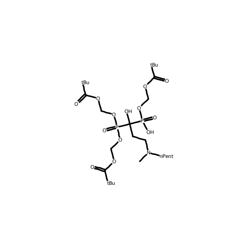 CCCCCN(C)CCC(O)(P(=O)(O)OCOC(=O)C(C)(C)C)P(=O)(OCOC(=O)C(C)(C)C)OCOC(=O)C(C)(C)C